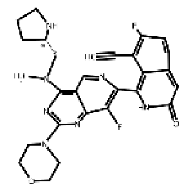 C#Cc1c(F)ccc2cc(=O)[nH]c(-c3ncc4c(N(C)C[C@@H]5CCCN5)nc(N5CCOCC5)nc4c3F)c12